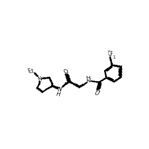 CCN1CCC(NC(=O)CNC(=O)c2cccc(C(F)(F)F)c2)C1